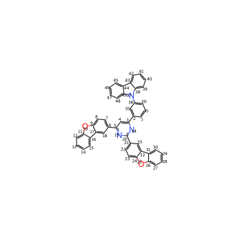 c1cc(-c2cc(-c3ccc4oc5ccccc5c4c3)nc(-c3ccc4oc5ccccc5c4c3)n2)cc(-n2c3ccccc3c3ccccc32)c1